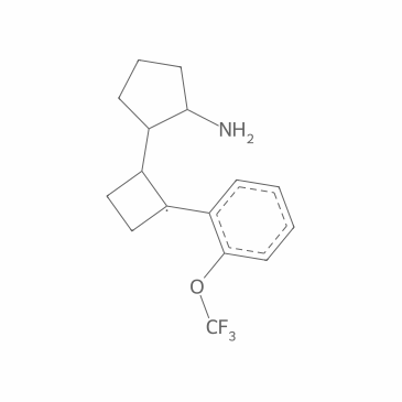 NC1CCCC1C1CC[C]1c1ccccc1OC(F)(F)F